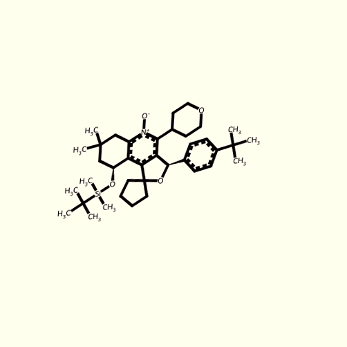 CC1(C)Cc2c(c3c(c(C4CCOCC4)[n+]2[O-])[C@@H](c2ccc(C(C)(C)C)cc2)OC32CCCC2)[C@@H](O[Si](C)(C)C(C)(C)C)C1